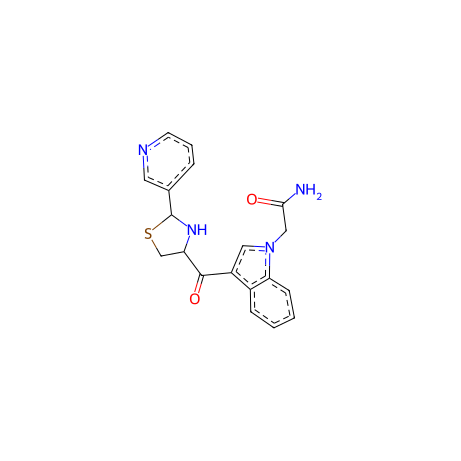 NC(=O)Cn1cc(C(=O)C2CSC(c3cccnc3)N2)c2ccccc21